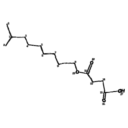 CC(C)CCCCCCCOC(=O)CCC(=O)O